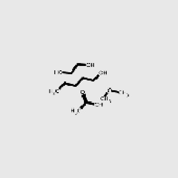 CC(=O)O.CCCCCO.COC.OCCO